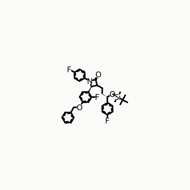 CC(C)(C)[Si](C)(C)O[C@@H](CCC1C(=O)N(c2ccc(F)cc2)[C@@H]1c1ccc(OCc2ccccc2)cc1F)c1ccc(F)cc1